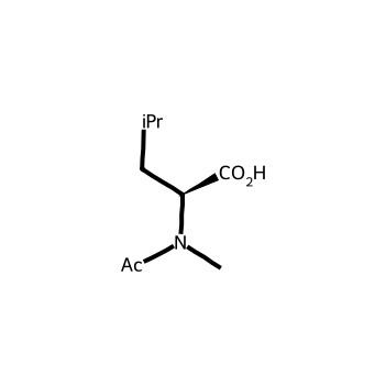 CC(=O)N(C)[C@@H](CC(C)C)C(=O)O